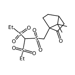 CCS(=O)(=O)C(S(=O)(=O)CC)S(=O)(=O)CC12CCC(CC1=O)C2(C)C